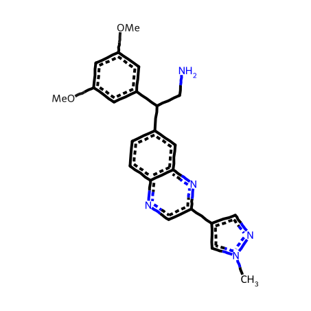 COc1cc(OC)cc(C(CN)c2ccc3ncc(-c4cnn(C)c4)nc3c2)c1